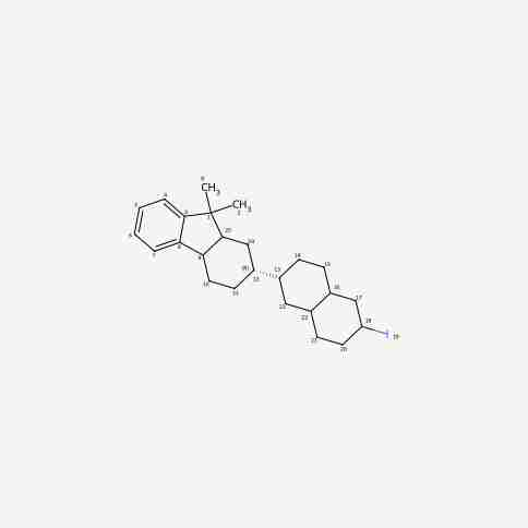 CC1(C)c2ccccc2C2CC[C@@H](C3CCC4CC(I)CCC4C3)CC21